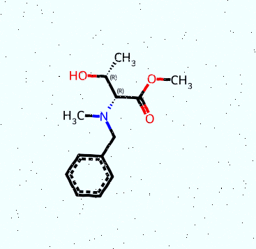 COC(=O)[C@@H]([C@@H](C)O)N(C)Cc1ccccc1